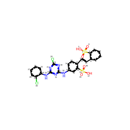 O=S(=O)(O)c1ccccc1C=Cc1ccc(Nc2nc(Cl)nc(Nc3ccccc3Cl)n2)cc1S(=O)(=O)O